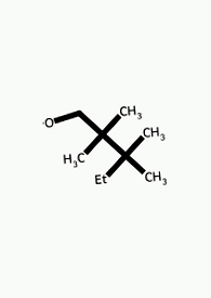 CCC(C)(C)C(C)(C)C[O]